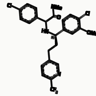 CNC(=O)C(N[C@H](CCc1ccc(C(F)(F)F)nc1)c1ccc(Cl)c(OC)c1)c1ccc(Cl)cc1